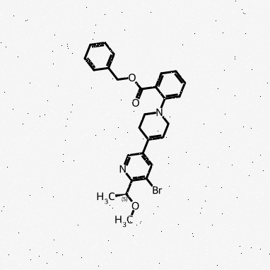 CO[C@@H](C)c1ncc(C2=CCN(c3ccccc3C(=O)OCc3ccccc3)CC2)cc1Br